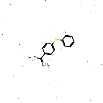 C=C(C)c1ccc(Sc2ccccc2)cc1